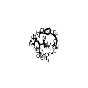 C[C@H]1Nc2ncnc3c2cc(C2(C#N)CC2)c(=O)n3CC(=O)N(C)CCCCN2CCC(CC2(C)C)C(F)(F)c2cccc1c2